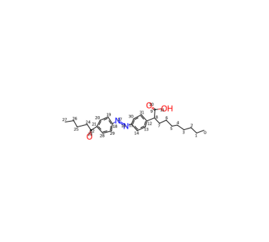 CCCCCCCCC(C(=O)O)c1ccc(N=Nc2ccc(C(=O)CCCC)cc2)cc1